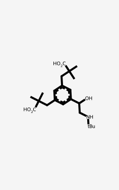 CC(C)(C)NCC(O)c1cc(CC(C)(C)C(=O)O)cc(CC(C)(C)C(=O)O)c1